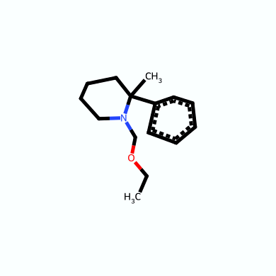 CCOCN1CCCCC1(C)c1ccccc1